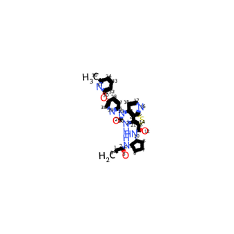 C=CC(=O)N[C@H]1CCC[C@H]1NC(=O)c1sc2nccc3c2c1NC(=O)N3c1ccc(Oc2cccc(C)n2)cn1